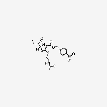 CCC1C(=O)N2C(C(=O)OCc3ccc([N+](=O)[O-])cc3)=C(SCCNC(C)=O)S[C@H]12